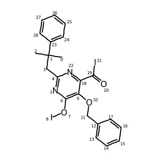 CC(C)(Cc1nc(OI)c(OCc2ccccc2)c(C(=O)I)n1)c1ccccc1